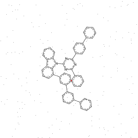 c1ccc(-c2ccc(-c3nc(-c4ccccc4)nc(-n4c5ccccc5c5cccc(-c6cccc(-c7cccc(-c8ccccc8)c7)c6)c54)n3)cc2)cc1